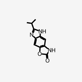 CC(C)c1nc2cc3oc(=O)[nH]c3cc2[nH]1